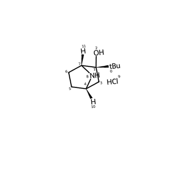 CC(C)(C)[C@@]1(O)C[C@@H]2CC[C@H]1N2.Cl